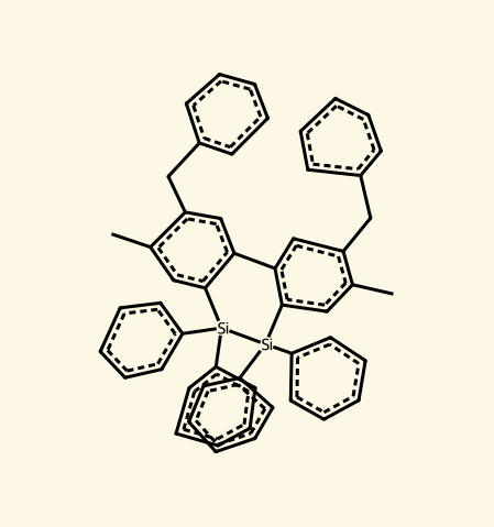 Cc1cc2c(cc1Cc1ccccc1)-c1cc(Cc3ccccc3)c(C)cc1[Si](c1ccccc1)(c1ccccc1)[Si]2(c1ccccc1)c1ccccc1